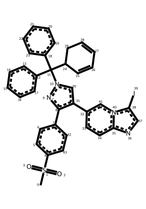 CS(=O)(=O)c1ccc(-c2nn(C(c3ccccc3)(c3ccccc3)C3C=CC=CC3)cc2-c2ccc3ncc(I)n3c2)cc1